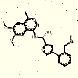 CNCc1ccccc1-c1csc([C@@H](N)Nc2nnc(C)c3cc(OC)c(OC)cc23)c1